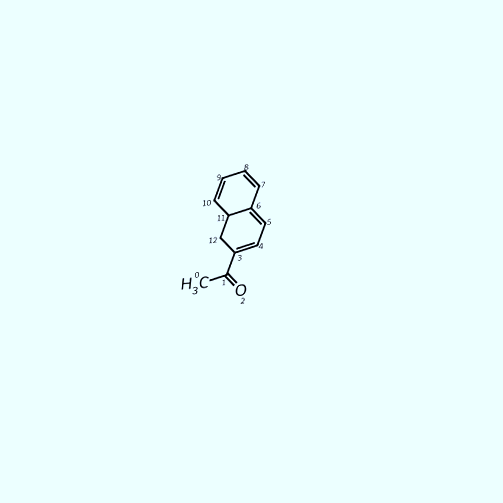 CC(=O)C1=CC=C2C=CC=CC2C1